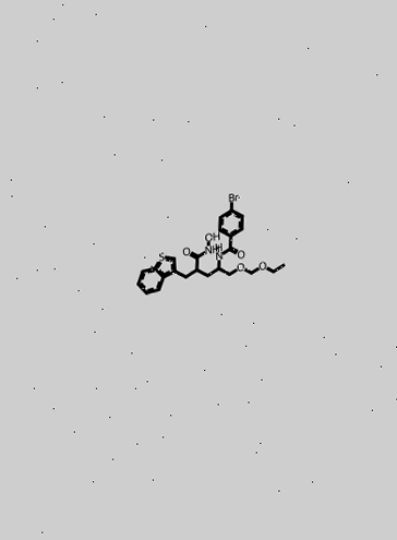 CCOCOCC(CC(Cc1csc2ccccc12)C(=O)NO)NC(=O)c1ccc(Br)cc1